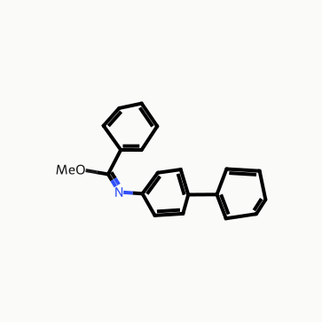 COC(=Nc1ccc(-c2ccccc2)cc1)c1ccccc1